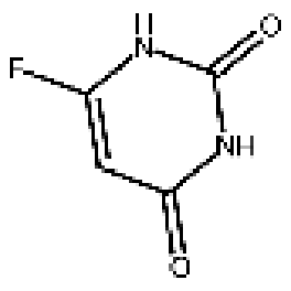 O=c1cc(F)[nH]c(=O)[nH]1